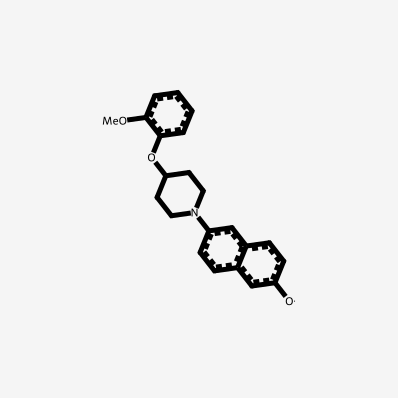 COc1ccccc1OC1CCN(c2ccc3cc([O])ccc3c2)CC1